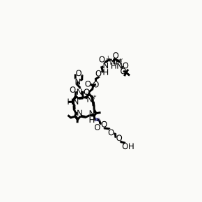 CCC1=C(C)c2cc3[nH]c(cc4nc(c5c6[nH]c(cc1n2)c(C)c6C(=O)N(CCN1CCOCC1)C5=O)[C@@H](CCC(=O)OCCOCCNC(=O)[C@H](C)NC(=O)[C@H](C)NC(=O)OC(C)(C)C)[C@@H]4C)c(C)c3/C=C/C(=O)OCCOCCOCCO